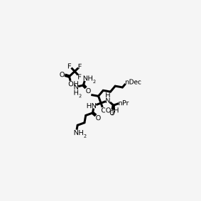 CCCCCCCCCCCCCCC(C)C(NC(=O)CCC)(NC(=O)CCCN)C(=O)O.NC(N)=O.O=C(O)C(F)(F)F